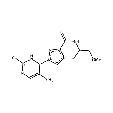 COCC1Cn2cc(C3NC(Cl)=NC=C3C)nc2C(=O)N1